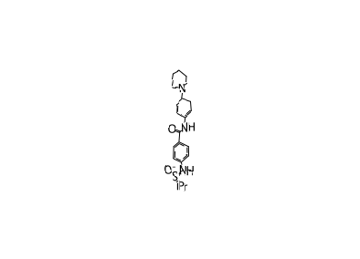 CC(C)[S+]([O-])Nc1ccc(C(=O)NC2=CCC(N3CCCCC3)C=C2)cc1